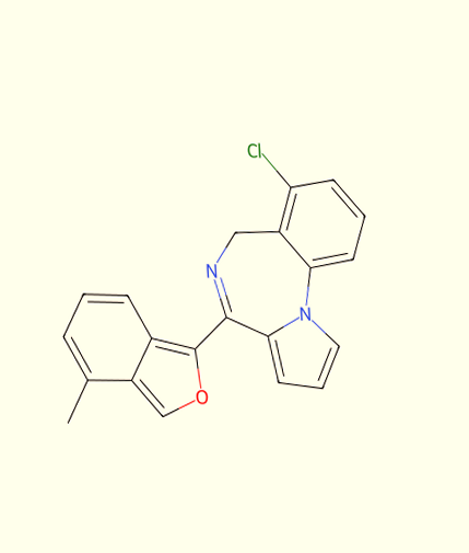 Cc1cccc2c(C3=NCc4c(Cl)cccc4-n4cccc43)occ12